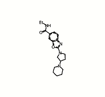 CCNC(=O)c1ccc2nc(N3CCC(N4CCCCC4)C3)oc2c1